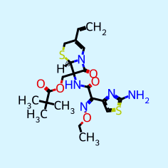 C=CC1=CN2C(=O)C(COC(=O)C(C)(C)C)(NC(=O)C(=NOCC)c3csc(N)n3)[C@@H]2SC1